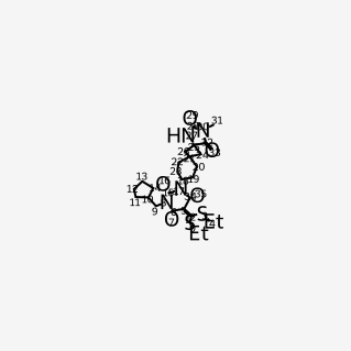 CCSC(SCC)=C1C(=O)N(CC2CCCC2)C(=O)N(C2CCC3(CC2)CC2(C3)NC(=O)N(C)C2=O)C1=O